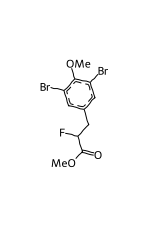 COC(=O)C(F)Cc1cc(Br)c(OC)c(Br)c1